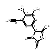 C=S1C(=S)NC(=O)C1c1cc(O)c(O)c(C#N)c1